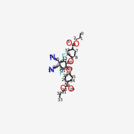 C=CCOC(=O)c1ccc(Oc2c(F)c(C#N)c(C#N)c(F)c2Oc2ccc(C(=O)OCC=C)cc2)cc1